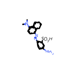 CN(C)c1ccc(N=Nc2ccc(N)cc2S(=O)(=O)O)c2ccccc12